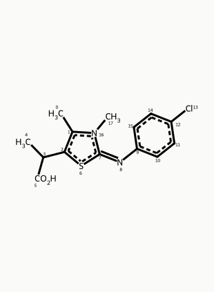 Cc1c(C(C)C(=O)O)s/c(=N/c2ccc(Cl)cc2)n1C